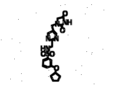 O=C1CN(Cc2cnc(CNS(=O)(=O)c3cccc(OC4CCCC4)c3)nc2)C(=O)N1